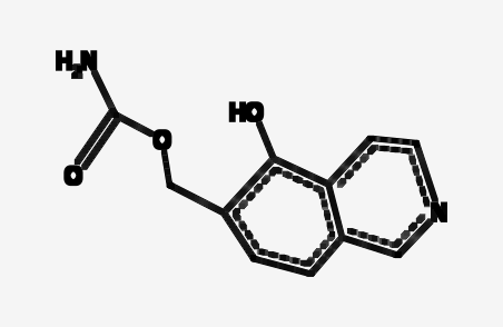 NC(=O)OCc1ccc2cnccc2c1O